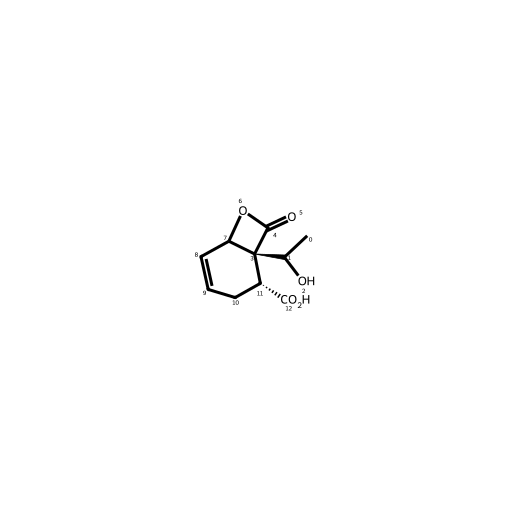 CC(O)[C@]12C(=O)OC1C=CC[C@H]2C(=O)O